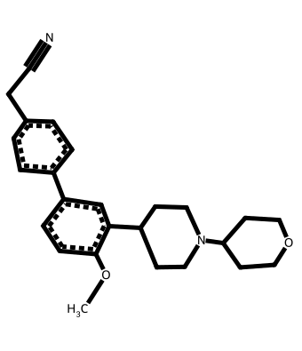 COc1ccc(-c2ccc(CC#N)cc2)cc1C1CCN(C2CCOCC2)CC1